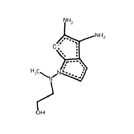 CN(CCO)n1ccc2c(N)c(N)oc21